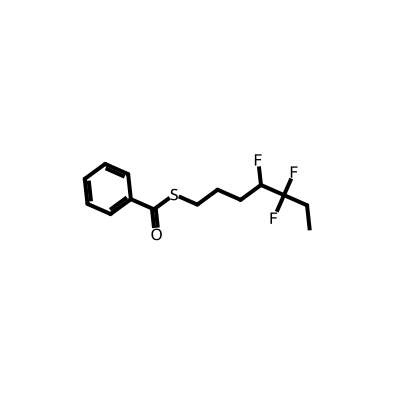 CCC(F)(F)C(F)CCCSC(=O)c1ccccc1